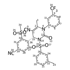 [C-]#[N+]C1=C(C)N(c2cccc(C(F)(F)F)c2)C(=O)N(S(=O)(=O)c2cccc(C)c2)[C@@H]1c1ccc(C#N)cc1S(C)(=O)=O